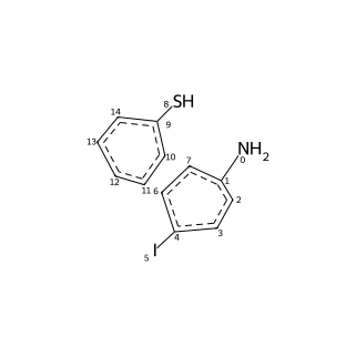 Nc1ccc(I)cc1.Sc1ccccc1